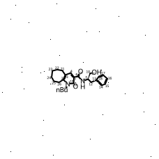 CCCCn1c2c(cc(C(=O)N[C@@H](CO)Cc3ccccc3)c1=O)CCCCCC2